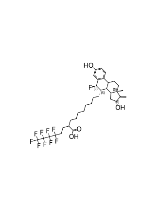 C=C1[C@H](O)CC2C3C(CC[C@]12C)c1ccc(O)cc1[C@H](F)[C@H]3CCCCCCCCC(CCC(F)(F)C(F)(F)C(F)(F)C(F)(F)F)C(=O)O